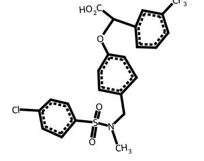 CN(Cc1ccc(OC(C(=O)O)c2cccc(C(F)(F)F)c2)cc1)S(=O)(=O)c1ccc(Cl)cc1